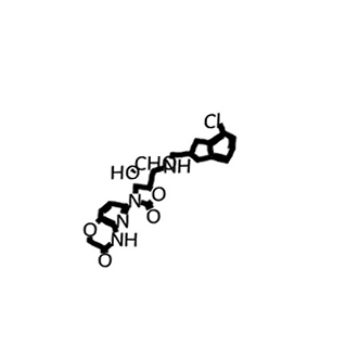 O=C1COc2ccc(N3CC(CNCC4Cc5cccc(Cl)c5C4)OC3=O)nc2N1.O=CO